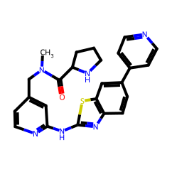 CN(Cc1ccnc(Nc2nc3ccc(-c4ccncc4)cc3s2)c1)C(=O)C1CCCN1